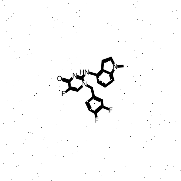 Cn1ccc2c(Nc3nc(=O)c(F)cn3Cc3ccc(F)c(F)c3)cccc21